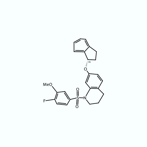 COc1cc(S(=O)(=O)N2CCCc3ccc(O[C@H]4CCc5ccccc54)cc32)ccc1F